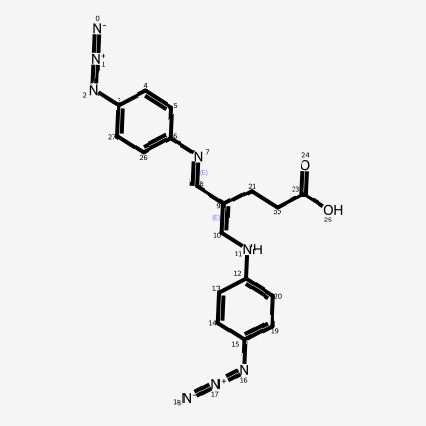 [N-]=[N+]=Nc1ccc(/N=C/C(=C/Nc2ccc(N=[N+]=[N-])cc2)CCC(=O)O)cc1